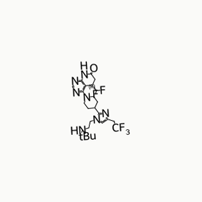 CC(C)(C)NCCn1cc(CC(F)(F)F)nc1C1CCN(c2ncnc3c2[C@H](C(F)F)CC(=O)N3)CC1